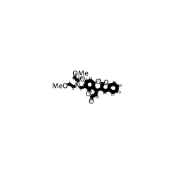 COCCN(CCOC)Cc1c(O)ccc2c(-c3cc4ccccc4oc3=O)cc(=O)oc12